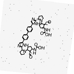 O=C=C1C(NC(=O)O)CCC1N1CCCC1c1ncc(-c2ccc(-c3ccc(-c4cnc([C@@H]5CCCN5[C@H]5CC[C@@H](NC(=O)O)C5=C=O)[nH]4)cc3)cc2)[nH]1